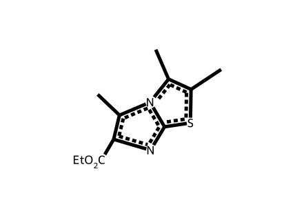 CCOC(=O)c1nc2sc(C)c(C)n2c1C